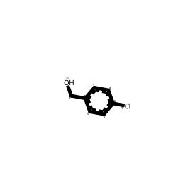 OCc1[c]cc(Cl)cc1